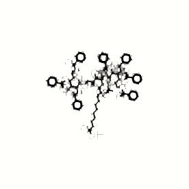 CC(=O)OC1C(OCCCCCCCCC(=O)O)OC(COC2OC(COC(=O)c3ccccc3)C(OC(=O)c3ccccc3)C(C)C2OC(=O)c2ccccc2)C(O)C1OC1OC(COC(=O)c2ccccc2)C(OC(=O)c2ccccc2)C(OC(=O)c2ccccc2)C1OC(=O)c1ccccc1